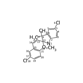 CN1c2ccc(Cl)cc2C(C)(C)C12C=Cc1cc(Cl)ccc1O2